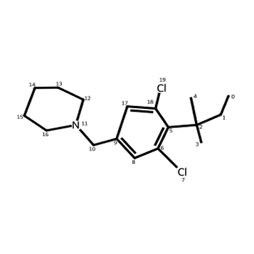 CCC(C)(C)c1c(Cl)cc(CN2CCCCC2)cc1Cl